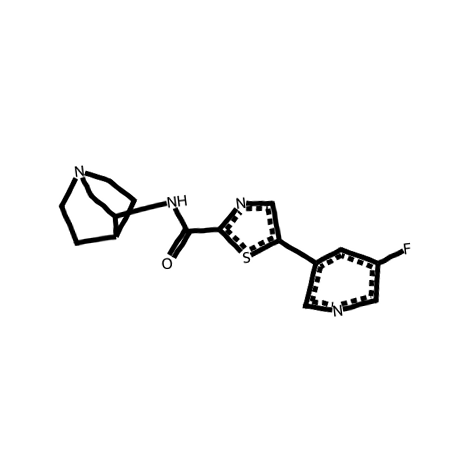 O=C(NC1CN2CCC1CC2)c1ncc(-c2cncc(F)c2)s1